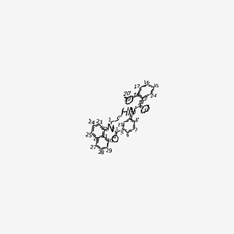 CCN(C(=O)c1cccc(NC(=O)c2ccccc2OC)c1)c1cccc2ccccc12